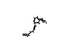 O=C(O)CCC#Cc1cccc(OC(F)(F)F)c1